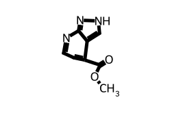 COC(=O)c1ccnc2n[nH]cc12